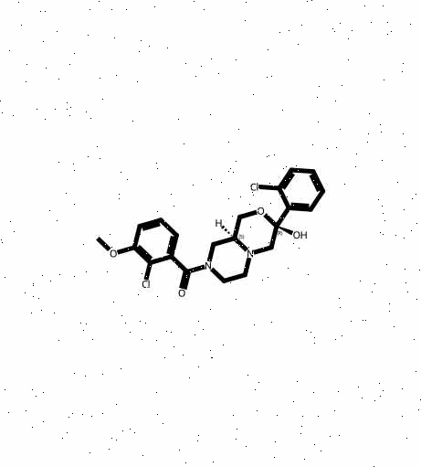 COc1cccc(C(=O)N2CCN3C[C@@](O)(c4ccccc4Cl)OC[C@@H]3C2)c1Cl